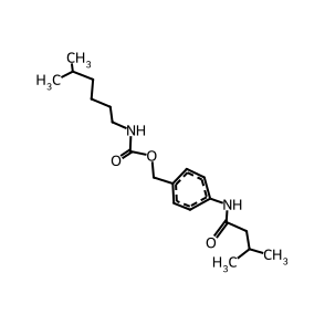 CC(C)CCCCNC(=O)OCc1ccc(NC(=O)CC(C)C)cc1